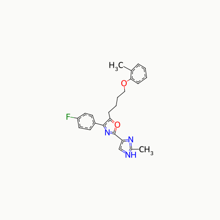 Cc1nc(-c2nc(-c3ccc(F)cc3)c(CCCCOc3ccccc3C)o2)c[nH]1